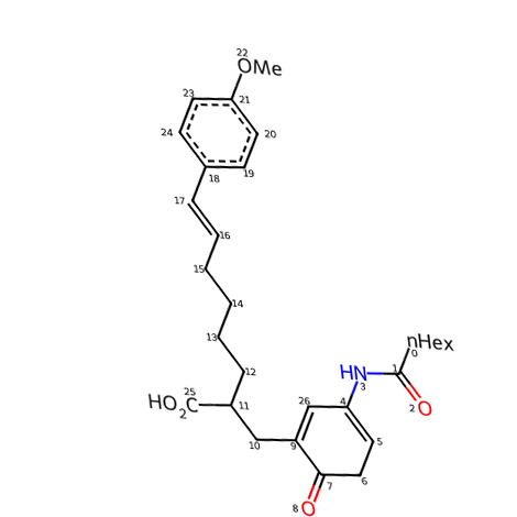 CCCCCCC(=O)NC1=CCC(=O)C(CC(CCCC/C=C/c2ccc(OC)cc2)C(=O)O)=C1